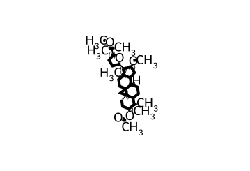 CO[C@H]1CC2[C@@H]3CCC4C(C)(C)[C@@H](OC(C)=O)CC[C@@]45CC35CC[C@]2(C)[C@H]1C1CC[C@@H](C(C)(C)OC)O1